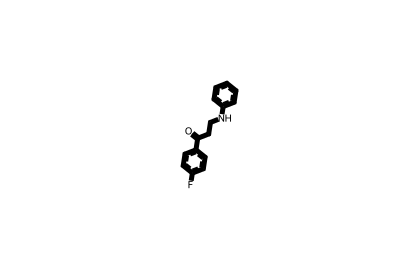 O=C(CCNc1ccccc1)c1ccc(F)cc1